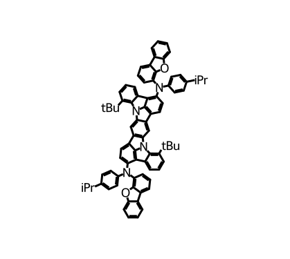 CC(C)c1ccc(N(c2cccc3c2oc2ccccc23)c2ccc3c4cc5c(cc4n4c6c(C(C)(C)C)cccc6c2c34)c2ccc(N(c3ccc(C(C)C)cc3)c3cccc4c3oc3ccccc34)c3c4cccc(C(C)(C)C)c4n5c23)cc1